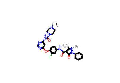 CCCn1c(C)c(C(=O)Nc2ccc(Oc3cc(NC(=O)N4CCN(C)CC4)ncn3)c(F)c2)c(=O)n1-c1ccccc1